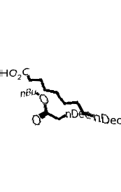 CCCCCCCCCCCC(=O)OCCCC.CCCCCCCCCCCCCCCCCC(=O)O